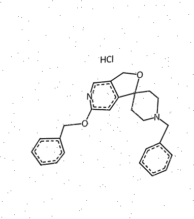 Cl.c1ccc(COc2cc3c(cn2)COC32CCN(Cc3ccccc3)CC2)cc1